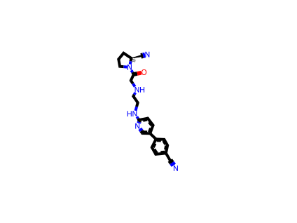 N#Cc1ccc(-c2ccc(NCCNCC(=O)N3CCC[C@H]3C#N)nc2)cc1